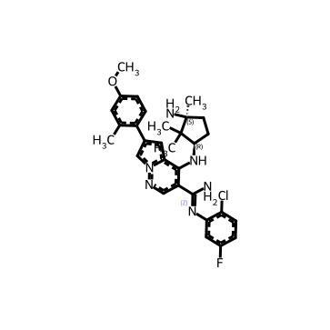 COc1ccc(-c2cc3c(N[C@@H]4CC[C@](C)(N)C4(C)C)c(/C(N)=N/c4cc(F)ccc4Cl)cnn3c2)c(C)c1